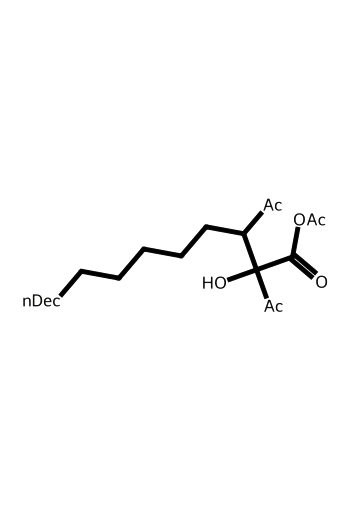 CCCCCCCCCCCCCCCC(C(C)=O)C(O)(C(C)=O)C(=O)OC(C)=O